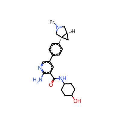 CC(C)N1C[C@H]2C[C@@]2(c2ccc(-c3cnc(N)c(C(=O)NC4CCC(O)CC4)c3)cc2)C1